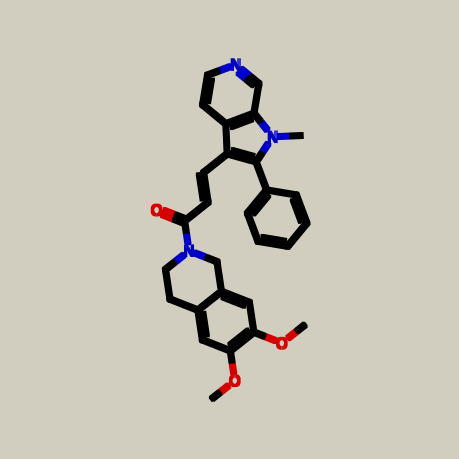 COc1cc2c(cc1OC)CN(C(=O)C=Cc1c(-c3ccccc3)n(C)c3cnccc13)CC2